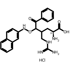 Cl.N=C(N)NCC(C[C@H](N)C(=O)O)C(ONc1ccc2ccccc2c1)C(=O)c1ccccc1